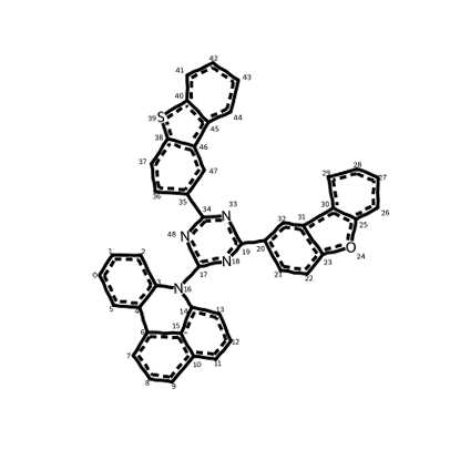 c1ccc2c(c1)-c1cccc3cccc(c13)N2c1nc(-c2ccc3oc4ccccc4c3c2)nc(-c2ccc3sc4ccccc4c3c2)n1